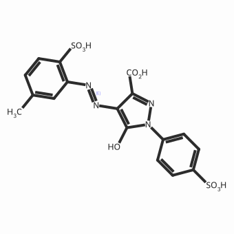 Cc1ccc(S(=O)(=O)O)c(/N=N/c2c(C(=O)O)nn(-c3ccc(S(=O)(=O)O)cc3)c2O)c1